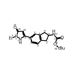 CCn1[nH]c(-c2ccc3c(c2)CC(NC(=O)OC(C)(C)C)C3)cc1=O